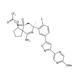 CN=[S@@]1(=O)C[C@@](C)(c2cc(-c3cc(-c4cnc(OC)cn4)no3)ccc2F)N=C(N)C12CCCC2OC(=O)C(F)(F)F